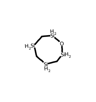 C1[SiH2]C[SiH2]O[SiH2]C[SiH2]1